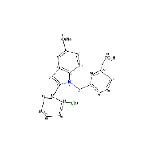 COc1ccc2c(c1)cc(-c1ccccc1Cl)n2Cc1cccc(C(=O)O)c1